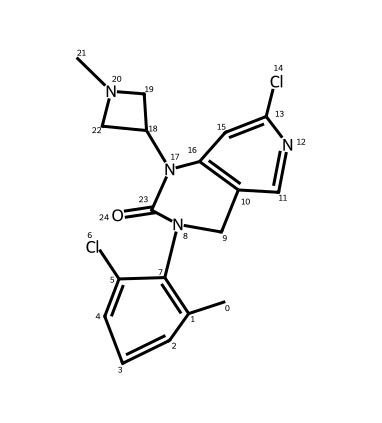 Cc1cccc(Cl)c1N1Cc2cnc(Cl)cc2N(C2CN(C)C2)C1=O